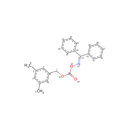 Cc1cc(C)cc(COC(=O)ON=C(c2ccccc2)c2ccccc2)c1